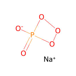 O=P1([O-])OOO1.[Na+]